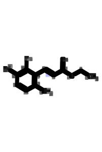 CCOC(=O)/C=C/c1c(N)ccc(Br)c1F